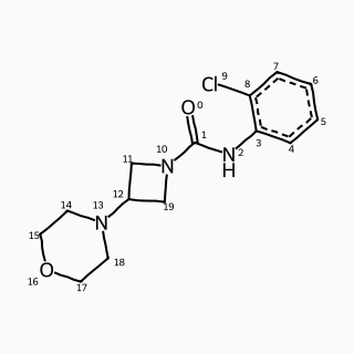 O=C(Nc1ccccc1Cl)N1CC(N2CCOCC2)C1